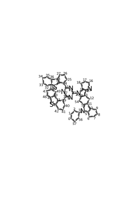 c1ccc(-n2c3ccccc3c3cc4c5ncccc5n(-c5nc(-c6cccc7c6sc6ccccc67)nc(-c6cccc7sc8ccccc8c67)n5)c4cc32)cc1